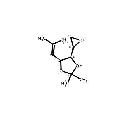 CC(C)=C[C@@H]1OC(C)(C)O[C@@H]1C1CO1